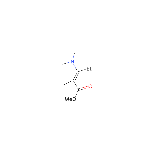 CC/C(=C(/C)C(=O)OC)N(C)C